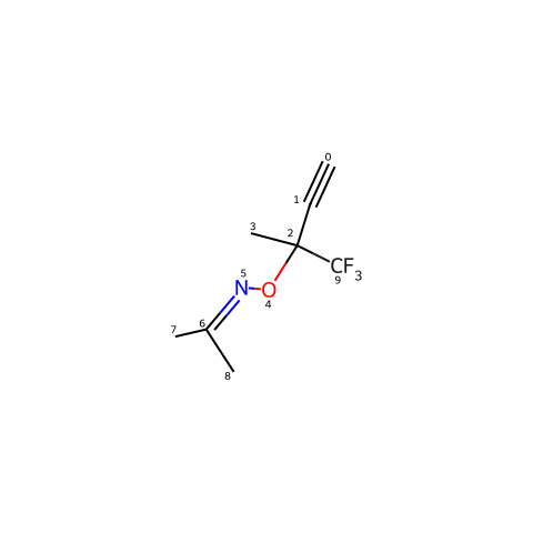 C#CC(C)(ON=C(C)C)C(F)(F)F